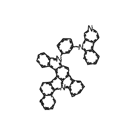 c1cc(-n2c3ccccc3c3ccncc32)cc(-n2c3ccccc3c3c4c5ccc6ccccc6c5n5c6ccccc6c(cc32)c45)c1